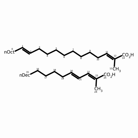 CCCCCCCCC=CCCCCCCCCC=C(C)C(=O)O.CCCCCCCCCCCCCCC=CC=C(C)C(=O)O